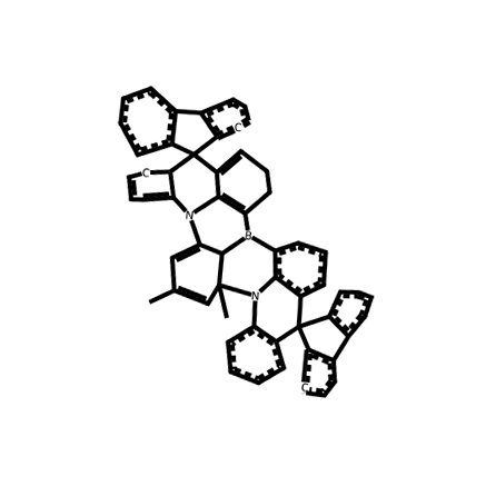 CC1=CC2(C)C3B(C4=C5C(=CCC4)C4(c6ccccc6-c6ccccc64)C4CC=CC=C4N5C3=C1)c1cccc3c1N2c1ccccc1C31c2ccccc2-c2ccccc21